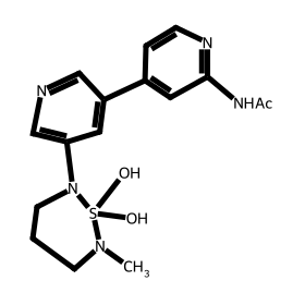 CC(=O)Nc1cc(-c2cncc(N3CCCN(C)S3(O)O)c2)ccn1